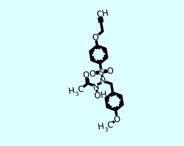 C#CCOc1ccc(S(=O)(=O)N(Cc2ccc(OC)cc2)N(O)C(C)=O)cc1